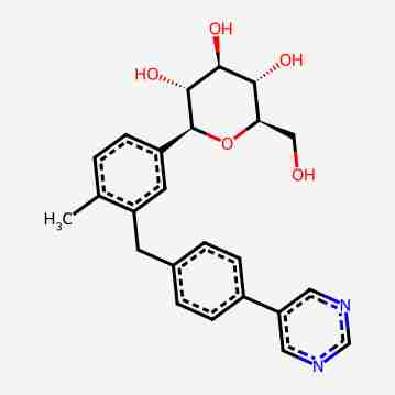 Cc1ccc([C@@H]2O[C@H](CO)[C@@H](O)[C@H](O)[C@H]2O)cc1Cc1ccc(-c2cncnc2)cc1